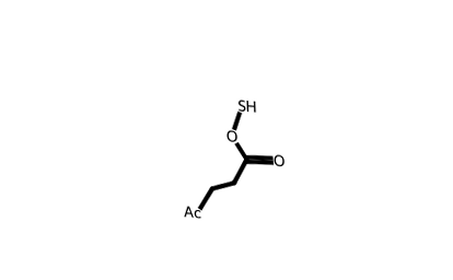 CC(=O)CCC(=O)OS